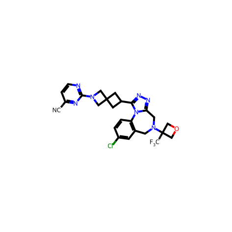 N#Cc1ccnc(N2CC3(CC(c4nnc5n4-c4ccc(Cl)cc4CN(C4(C(F)(F)F)COC4)C5)C3)C2)n1